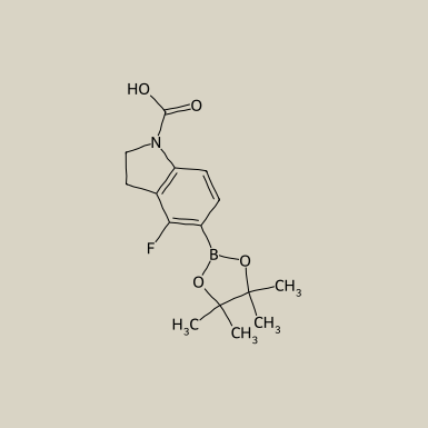 CC1(C)OB(c2ccc3c(c2F)CCN3C(=O)O)OC1(C)C